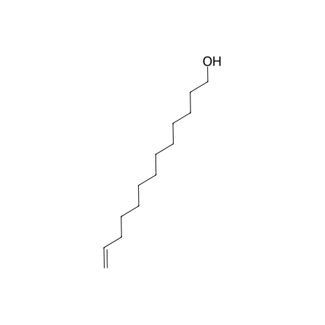 C=CCCCCCCCCCCCO